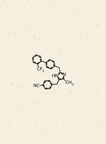 Cc1nc(Cc2ccc(-c3ccccc3C(F)(F)F)cc2)[nH]c1Cc1ccc(C#N)cc1